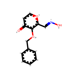 O=c1ccoc(C=NO)c1OCc1ccccc1